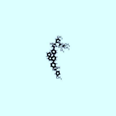 C[C@@H]1CC[C@H](c2nc3ccc(-c4ccc(-c5ccc(-c6c[nH]c([C@@H]7C[C@H](C)CN7C(=O)OC(C)(C)C)n6)cc5)c5c4CCC54CCCC4)cc3[nH]2)C1